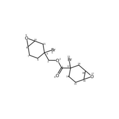 O=C(OCC1(Br)CCC2OC2C1)C1(Br)CCC2OC2C1